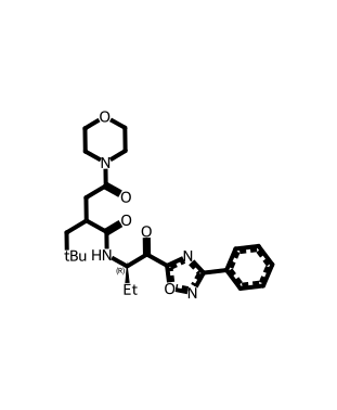 CC[C@@H](NC(=O)C(CC(=O)N1CCOCC1)CC(C)(C)C)C(=O)c1nc(-c2ccccc2)no1